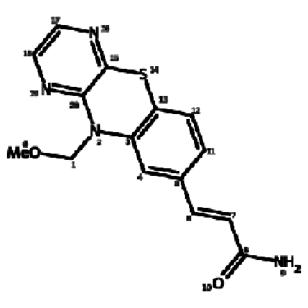 COCN1c2cc(/C=C/C(N)=O)ccc2Sc2nccnc21